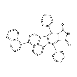 O=C1NC(=O)c2c1c(-c1ccccc1)c1c(c2-c2ccccc2)-c2ccc(-c3cccc4ccccc34)c3cccc-1c23